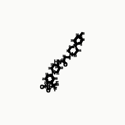 Cc1ccc(N2CCN(CCC(=O)NC3CCN(c4ccc([N+](=O)[O-])c(C(F)(F)F)c4)CC3)CC2)cc1